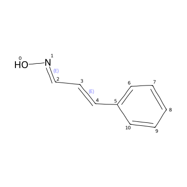 O/N=C/C=C/c1ccccc1